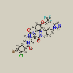 O=C(NCc1ccc(-n2ccnc2)cc1)c1c2n(c(=O)n1-c1ccc(OCC(F)(F)F)cc1)CCN(C(=O)c1ccc(Br)c(Cl)c1)C2